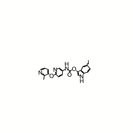 Cc1ncccc1Oc1ccc(NC(=O)Oc2c[nH]c3ccc(I)cc23)cn1